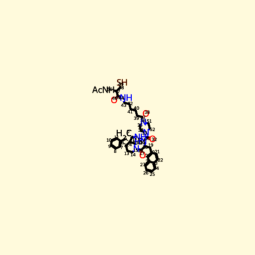 C=C(NCC)[C@]1(Cc2ccccc2)CCCN(C(=O)C(Cc2ccc3ccccc3c2)NC(=O)N2CCN(C(=O)CCCCCNC(=O)C(CS)NC(C)=O)CC2)C1